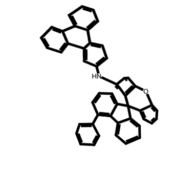 c1ccc(-c2cccc3c2-c2ccccc2C32c3ccccc3Oc3ccc(Nc4ccc5c6ccccc6c6ccccc6c5c4)cc32)cc1